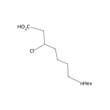 CCCCCCCCCCC(Cl)CC(=O)O